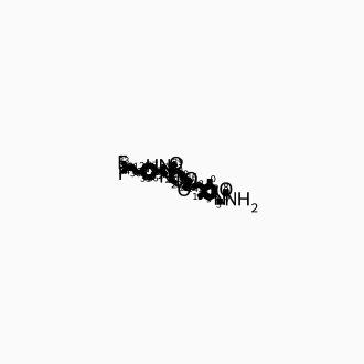 Cc1cc(N(C)C(N)=O)cc(C)c1CCS(=O)(=O)N1CCC2(CC1)N=C(C1CCC(CC=C(F)F)CC1)NC2=O